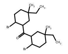 CCC1(C)CCC(Br)C(C(=O)C2CC(C)(CC)CCC2Br)C1